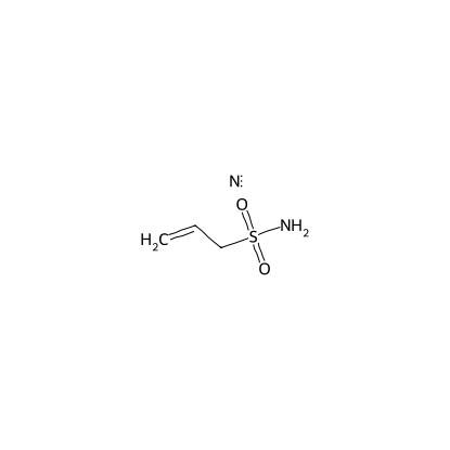 C=CCS(N)(=O)=O.[N]